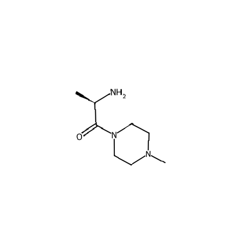 C[C@@H](N)C(=O)N1CCN(C)CC1